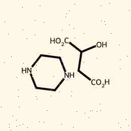 C1CNCCN1.O=C(O)CC(O)C(=O)O